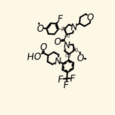 COC[C@H]1CN(C(=O)[C@@H]2CN(C3CCOCC3)C[C@H]2C2=C(F)C=C(OC)CC2)C[C@@H]1c1ccc(C(F)(F)F)cc1N1CCC(C(=O)O)CC1